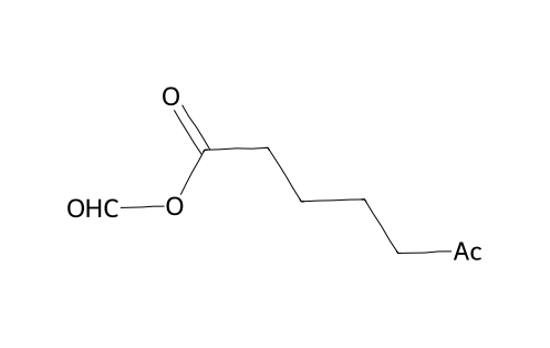 CC(=O)CCCCC(=O)OC=O